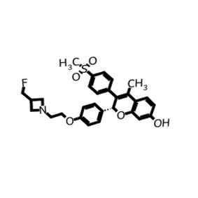 CC1=C(c2ccc(S(C)(=O)=O)cc2)[C@@H](c2ccc(OCCN3CC(CF)C3)cc2)Oc2cc(O)ccc21